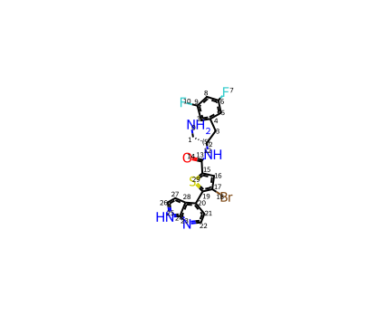 NC[C@H](Cc1cc(F)cc(F)c1)NC(=O)c1cc(Br)c(-c2ccnc3[nH]ccc23)s1